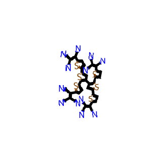 N#CC(C#N)=C(C#N)c1ccc(-c2cc(-c3cc(-c4ccc(C(C#N)=C(C#N)C#N)s4)sc3-c3ccc(C(C#N)=C(C#N)C#N)s3)c(-c3ccc(C(C#N)=C(C#N)C#N)s3)s2)s1